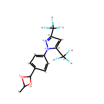 CC1OC(c2ccc(-n3nc(C(F)(F)F)cc3C(F)(F)F)cc2)O1